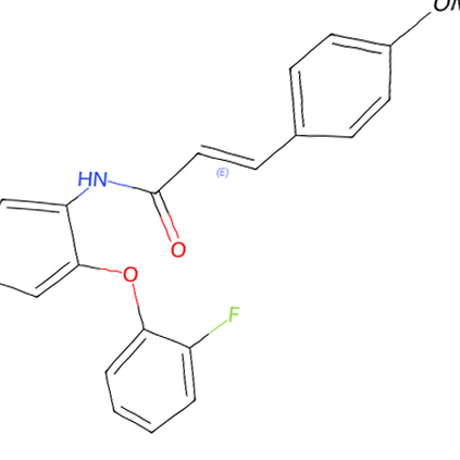 COc1ccc(/C=C/C(=O)Nc2ccccc2Oc2ccccc2F)cc1